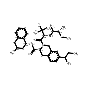 CCC(C)c1ccc2c(c1)CN(C(=O)[C@@H](NC(C)[C@H](C)NC)C(C)(C)C)[C@H](C(=O)N[C@@H]1CC(C)Cc3ccccc31)C2